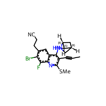 CC#Cc1c(SC)nc2c(F)c(Br)c(CCC#N)cc2c1N[C@H]1[C@H]2CN[C@@H]1C2